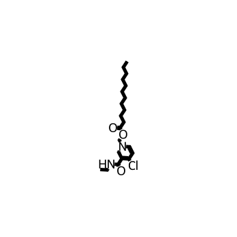 CCCCCCCCCCCC(=O)OCN1C=CC(Cl)=C(C(=O)NCC)C1